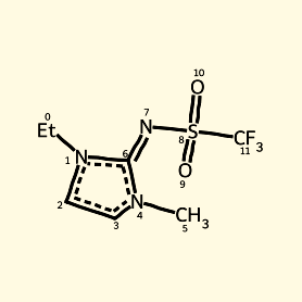 CCn1ccn(C)c1=NS(=O)(=O)C(F)(F)F